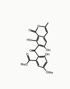 COC(=O)c1cc(OC)cc(O)c1C(=O)c1c(O)cc2cc(C)oc(=O)c2c1O